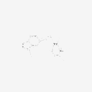 Cn1ncc(Nc2ccc3ccn(C)c3c2)c(Cl)c1=O